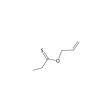 C=CCOC(=S)CC